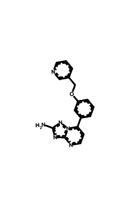 Nc1nc2nccc(-c3cccc(OCc4cccnc4)c3)n2n1